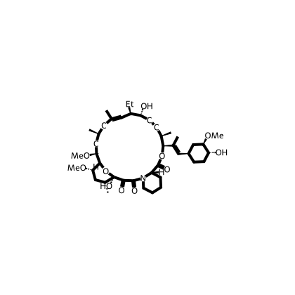 CC[C@@H]1/C=C(\C)C[C@H](C)C[C@H](OC)[C@H]2O[C@@](O)(C(=O)C(=O)N3CCCC[C@H]3C(=O)O[C@H](/C(C)=C/[C@@H]3CC[C@@H](O)[C@H](OC)C3)[C@H](C)CC[C@H]1O)[C@H](C)C[C@@H]2OC